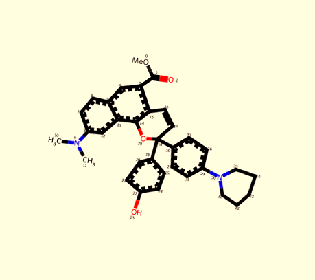 COC(=O)c1cc2ccc(N(C)C)cc2c2c1C=CC(c1ccc(O)cc1)(c1ccc(N3CCCCC3)cc1)O2